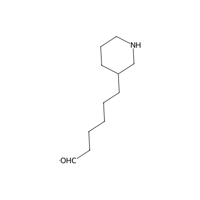 O=[C]CCCCCC1CCCNC1